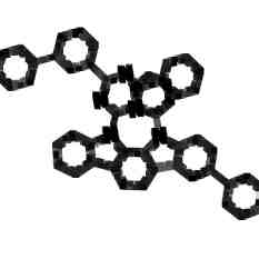 c1ccc(-c2cccc(-c3nc(-c4ccccc4)nc(-n4c5ccccc5c5ccc6c7cc(-c8ccccc8)ccc7n(-c7ccccc7)c6c54)n3)c2)cc1